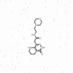 O=C(Cc1n[nH]c(=O)c2c1NCCC2)NCCN1CCOCC1